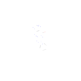 Cl.Nc1nc2[nH]cnc2c(=O)n1Cc1ccc(Cl)c(Cl)c1